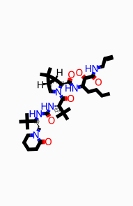 C=CCNC(=O)C(=O)C(CCCC)NC(=O)[C@@H]1[C@@H]2[C@H](CN1C(=O)[C@@H](NC(=O)N[C@H](CN1CCCCC1=O)C(C)(C)C)C(C)(C)C)C2(C)C